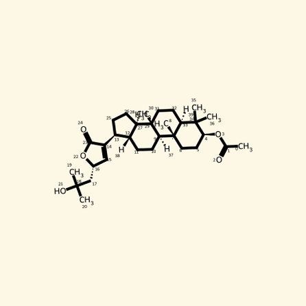 CC(=O)O[C@H]1CC[C@]2(C)[C@H]3CC[C@@H]4[C@@H](C5=C[C@H](CC(C)(C)O)OC5=O)CC[C@@]4(C)[C@]3(C)CC[C@H]2C1(C)C